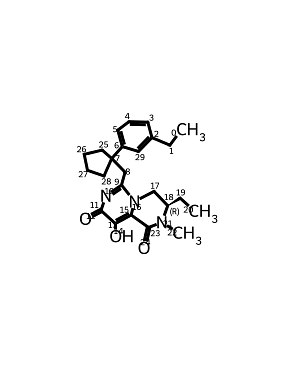 CCc1cccc(C2(Cc3nc(=O)c(O)c4n3C[C@@H](CC)N(C)C4=O)CCCC2)c1